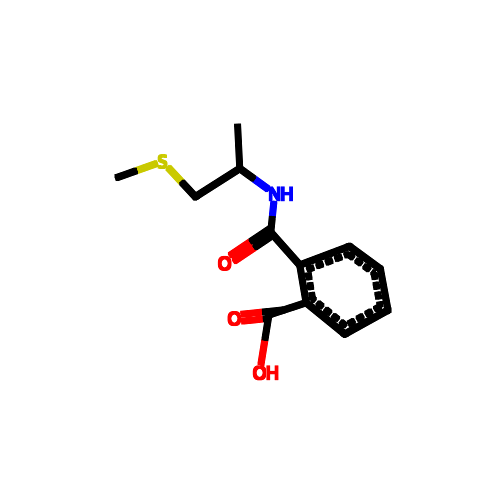 CSCC(C)NC(=O)c1ccccc1C(=O)O